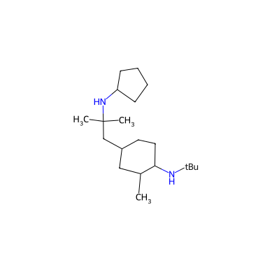 CC1CC(CC(C)(C)NC2CCCC2)CCC1NC(C)(C)C